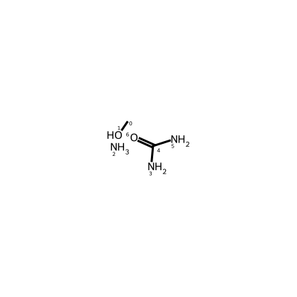 CO.N.NC(N)=O